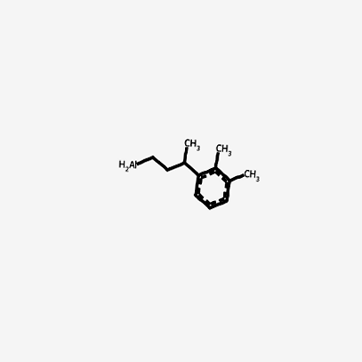 Cc1cccc(C(C)C[CH2][AlH2])c1C